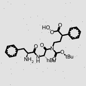 CCCC[C@H](NC(=O)[C@@H](N)Cc1ccccc1)C(=O)N(CCC(C(=O)OO)c1ccccc1)C(=O)OC(C)(C)C